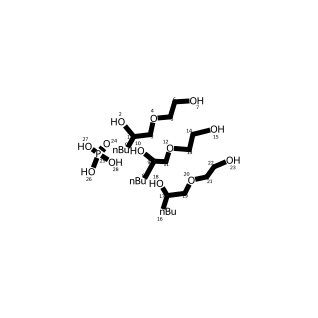 CCCCC(O)COCCO.CCCCC(O)COCCO.CCCCC(O)COCCO.O=P(O)(O)O